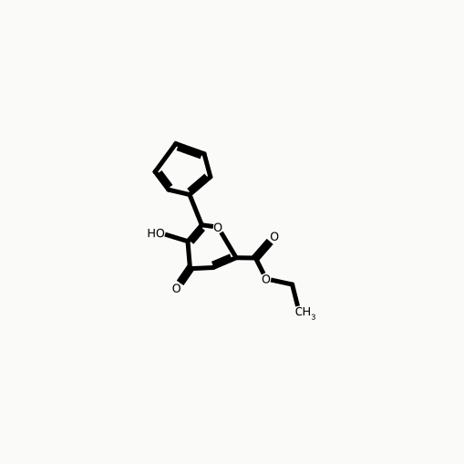 CCOC(=O)c1cc(=O)c(O)c(-c2ccccc2)o1